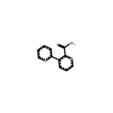 NC(=S)c1ncccc1-c1ccccn1